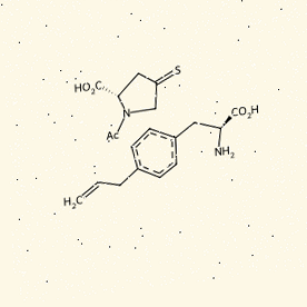 C=CCc1ccc(C[C@H](N)C(=O)O)cc1.CC(=O)N1CC(=S)C[C@H]1C(=O)O